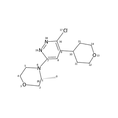 C[C@@H]1COCCN1c1cc(C2CCOCC2)c(Cl)nn1